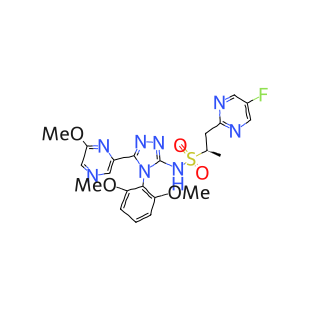 COc1cncc(-c2nnc(NS(=O)(=O)[C@H](C)Cc3ncc(F)cn3)n2-c2c(OC)cccc2OC)n1